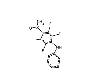 C[S+]([O-])c1c(F)c(F)c(Nc2ccccc2)c(F)c1F